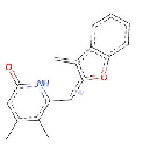 C=c1/c(=C\c2[nH]c(=O)cc(C)c2C)oc2ccccc12